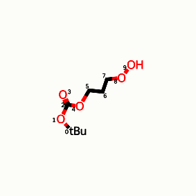 CC(C)(C)OC(=O)OCCCOO